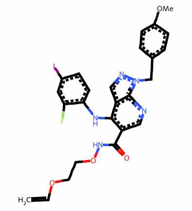 C=COCCONC(=O)c1cnc2c(cnn2Cc2ccc(OC)cc2)c1Nc1ccc(I)cc1F